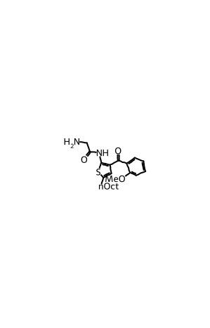 CCCCCCCCc1cc(C(=O)c2ccccc2OC)c(NC(=O)CN)s1